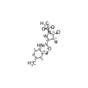 Cc1ccc(NC(=O)c2nn(S(C)(=O)=O)c(Cl)c2F)c(F)c1